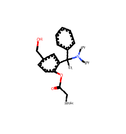 CCC(c1ccccc1)(c1cc(CO)ccc1OC(=O)CNC(C)=O)N(C(C)C)C(C)C